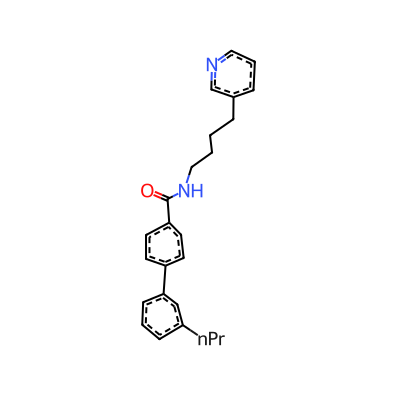 CCCc1cccc(-c2ccc(C(=O)NCCCCc3cccnc3)cc2)c1